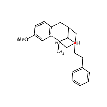 COc1ccc2c(c1)[C@@]1(C)CCCC(C2)C1NCCc1ccccc1